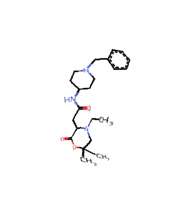 CCN1CC(C)(C)OC(=O)C1CC(=O)NC1CCN(Cc2ccccc2)CC1